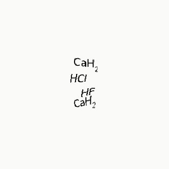 Cl.F.[CaH2].[CaH2]